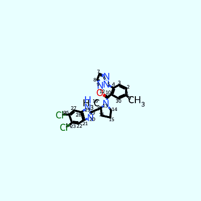 Cc1ccc(-n2nccn2)c(C(=O)N2CCC[C@@]2(C)c2nc3cc(Cl)c(Cl)cc3[nH]2)c1